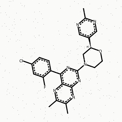 Cc1ncc([C@@H]2CN(c3nc(-c4ccc(Cl)cc4F)c4nc(C)c(C)nc4n3)CCO2)cn1